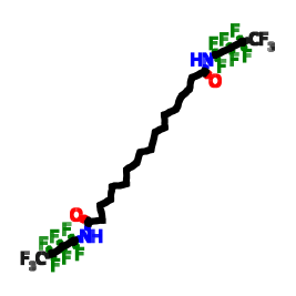 O=C(CCCCCCCCCCCCCCCCC(=O)NC(F)(F)C(F)(F)C(F)(F)C(F)(F)F)NC(F)(F)C(F)(F)C(F)(F)C(F)(F)F